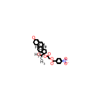 CC(=O)[C@@]1(OC(=O)COC(=O)c2ccc([N+](=O)[O-])cc2)CC[C@H]2[C@@H]3CCC4=CC(=O)CC[C@]4(C)[C@H]3CC[C@@]21C